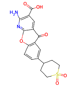 Nc1nc2oc3ccc(C4CCS(=O)(=O)CC4)cc3c(=O)c2cc1C(=O)O